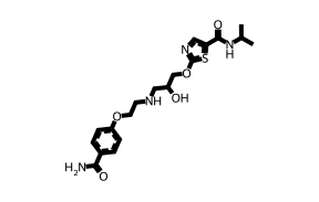 CC(C)NC(=O)c1cnc(OCC(O)CNCCOc2ccc(C(N)=O)cc2)s1